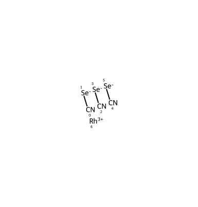 N#C[Se-].N#C[Se-].N#C[Se-].[Rh+3]